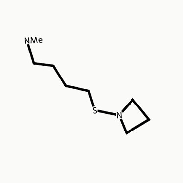 CNCCCCSN1CCC1